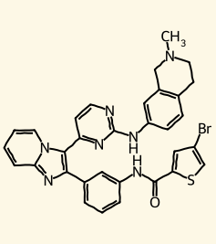 CN1CCc2ccc(Nc3nccc(-c4c(-c5cccc(NC(=O)c6cc(Br)cs6)c5)nc5ccccn45)n3)cc2C1